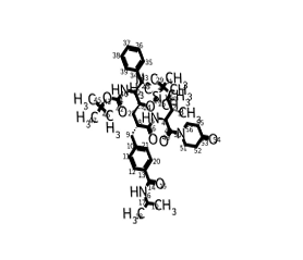 CC[C@H](C)[C@H](NC(=O)[C@H](Cc1ccc(C(=O)NC(C)C)cc1)C[C@H](O[Si](C)(C)C(C)(C)C)[C@H](Cc1ccccc1)NC(=O)OC(C)(C)C)C(=O)N1CCC(=O)CC1